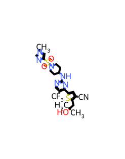 Cn1cnc(S(=O)(=O)N2CCC(Nc3ncc(C(F)(F)F)c(-c4cc(C#N)c(CC(C)(C)O)s4)n3)CC2)c1